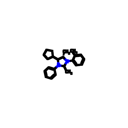 Cc1ccccc1N1C(C)N(c2ccccc2)C(C2CCCC2)[C@@H]1C